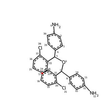 Nc1ccc(C(OC(c2ccc(N)cc2)c2ccccc2Cl)c2ccccc2Cl)cc1